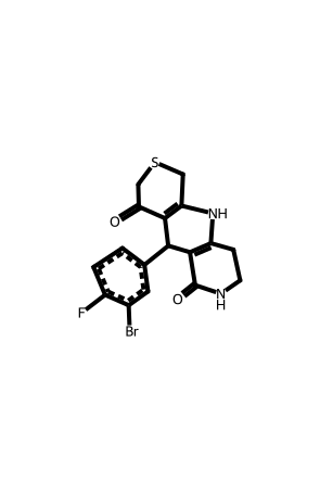 O=C1CSCC2=C1C(c1ccc(F)c(Br)c1)C1=C(CCNC1=O)N2